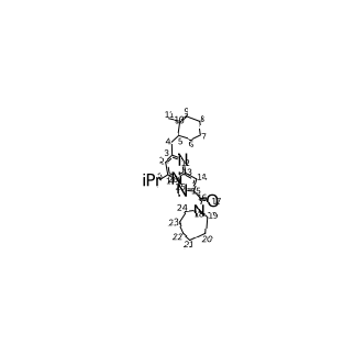 CC(C)c1cc(CC2CCCCC2C)nc2cc(C(=O)N3CCCCCC3)nn12